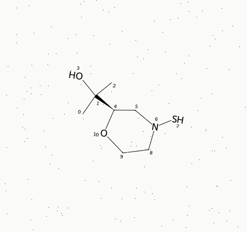 CC(C)(O)[C@H]1CN(S)CCO1